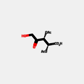 CC(=O)O[C@@H](C(=O)O)[C@@H](OC(C)=O)C(=O)CO